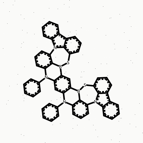 c1ccc(N2c3cc4c(cc3B3Sc5cccc6c7ccccc7n(c56)-c5cccc2c53)B2Sc3cccc5c6ccccc6n(c35)-c3cccc(c32)N4c2ccccc2)cc1